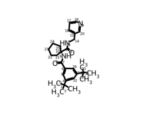 CC(C)(C)c1cc(C(=O)NC2(C(=O)NCc3cccnc3)CCCCC2)cc(C(C)(C)C)c1